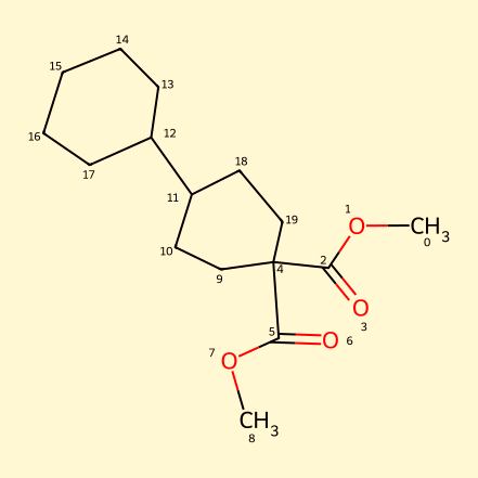 COC(=O)C1(C(=O)OC)CCC(C2CCCCC2)CC1